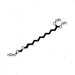 CCCCCCCCCCOCOC=CCCCCCCCCCC(OCCC)OCCC